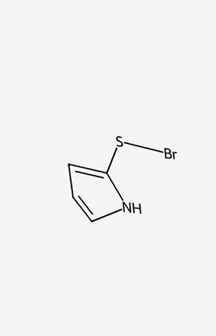 BrSc1ccc[nH]1